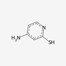 Nc1ccnc(S)c1